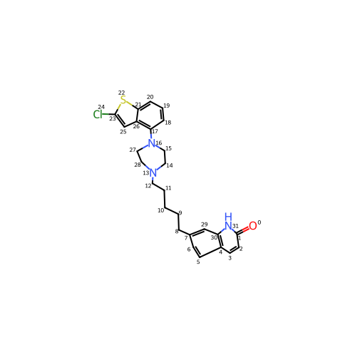 O=c1ccc2ccc(CCCCCN3CCN(c4cccc5sc(Cl)cc45)CC3)cc2[nH]1